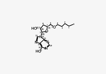 CCCCCOC[C@@H]1C[C@@H](O)[C@H](n2cnc3c(O)ncnc32)O1